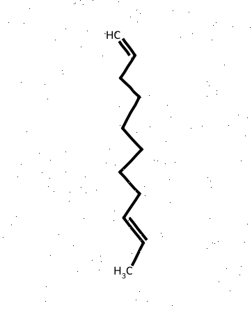 [CH]=CCCCCCCC=CC